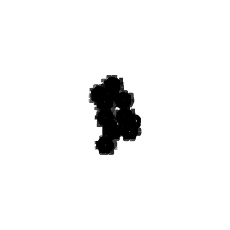 c1ccc(-c2cc(-c3cccc4oc5cc(-c6cccc(N(c7ccccc7)c7cccc8ccccc78)c6)ccc5c34)nc(-c3ccccc3)n2)cc1